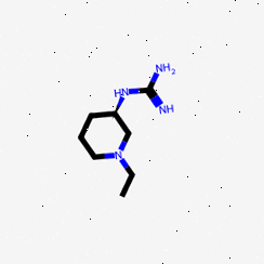 CCN1CCC[C@@H](NC(=N)N)C1